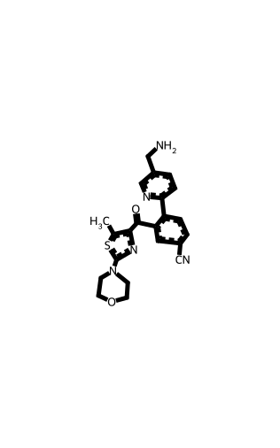 Cc1sc(N2CCOCC2)nc1C(=O)c1cc(C#N)ccc1-c1ccc(CN)cn1